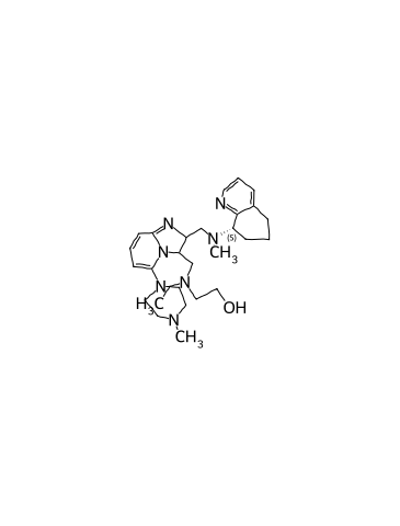 CCN(CCO)CC1C(CN(C)[C@H]2CCCc3cccnc32)N=C2C=CC=C(N3CCN(C)CC3)N21